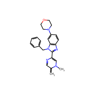 C=C1C=NC(c2nc3ccc(N4CCOCC4)cc3n2Cc2ccccc2)=CN1C